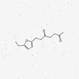 CCc1ccc(CCC(=O)CCC(C)=O)o1